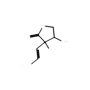 CC1COC(=O)C1(C)C=CC(=O)O